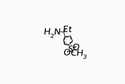 CCC(N)c1ccc(S(C)(=O)=O)cc1